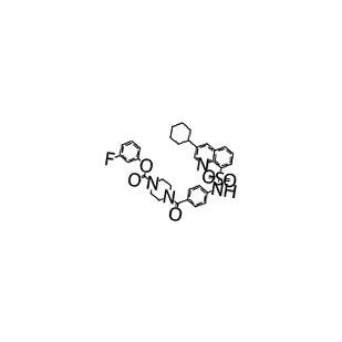 O=C(Oc1cccc(F)c1)N1CCN(C(=O)c2ccc(NS(=O)(=O)c3cccc4cc(C5CCCCC5)cnc34)cc2)CC1